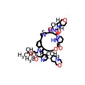 CCO[C@@H]1c2nc(cs2)-c2ccc3c(c2)c(c(-c2cc([C@@H]4CCN5CCOCC5C4)cnc2[C@H](C)OC)n3CCOC(C)C)CC(C)(C)COC(=O)[C@@H]2CCCN(N2)C(=O)[C@H]1NC(=O)N1C[C@@H]2COCC[C@@H]21